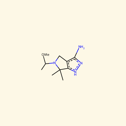 COC(C)N1Cc2c(N)n[nH]c2C1(C)C